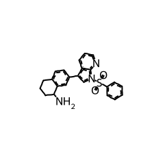 NC1CCCc2ccc(-c3cn(S(=O)(=O)c4ccccc4)c4ncccc34)cc21